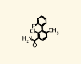 Cc1ccc(C(N)=O)c(Cl)c1-c1ccccc1F